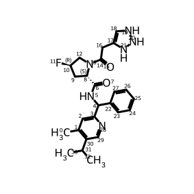 Cc1cc(C(NC(=O)[C@@H]2C[C@@H](F)CN2C(=O)CC2=CNNN2)c2ccccc2)ncc1C(C)C